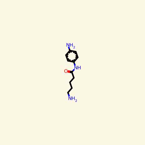 NCCCCC(=O)Nc1ccc(N)cc1